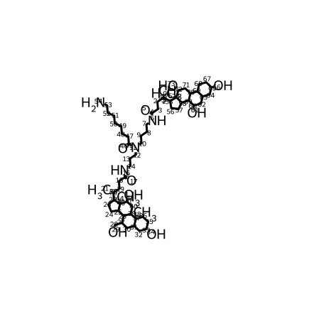 C[C@H](CCC(=O)NCCCCN(CCCNC(=O)CC[C@@H](C)C1CCC2C3C(CO)CC4CC(O)CCC4(C)C3CC(O)C21C)C(=O)CCCCCCCN)C1CCC2C3C(O)CC4CC(O)CCC4C3CC(O)C21C